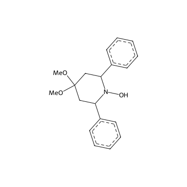 COC1(OC)CC(c2ccccc2)N(O)C(c2ccccc2)C1